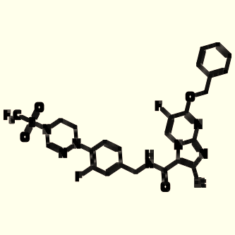 CCc1nc2nc(OCc3ccccc3)c(F)cn2c1C(=O)NCc1ccc(N2CCN(S(=O)(=O)C(F)(F)F)C=N2)c(F)c1